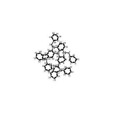 c1ccc(CN2c3ccc(-c4nc5ccccc5n4-c4ccccc4)cc3B3c4cc5c(cc4N(Cc4ccccc4)c4cccc2c43)c2ccccc2n5-c2ccccn2)cc1